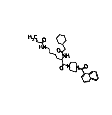 C=CC(=O)NCCCCC(NC(=O)CC1CCCCC1)C(=O)N1CCN(C(=O)c2cccc3ccccc23)CC1